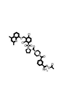 CC(=O)ON=C(N)c1cccc(C(=O)N2CCN(C(=O)[C@@H]3CCCN3S(=O)(=O)c3ccc(Cl)c(COc4cccc5c(C)cc(C)nc45)c3Cl)CC2)c1